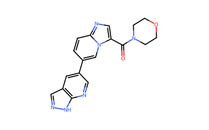 O=C(c1cnc2ccc(-c3cnc4[nH]ncc4c3)cn12)N1CCOCC1